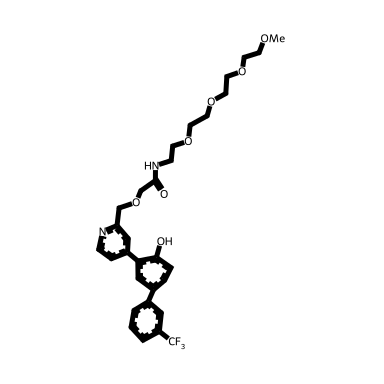 COCCOCCOCCOCCNC(=O)COCc1cc(-c2cc(-c3cccc(C(F)(F)F)c3)ccc2O)ccn1